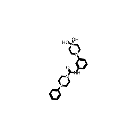 O=C(Nc1cccc(N2CCS(O)(O)CC2)c1)N1CCN(c2ccccc2)CC1